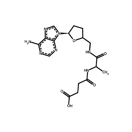 CC(NC(=O)CCC(=O)O)C(=O)NCC1CC[C@H](n2cnc3c(N)ncnc32)O1